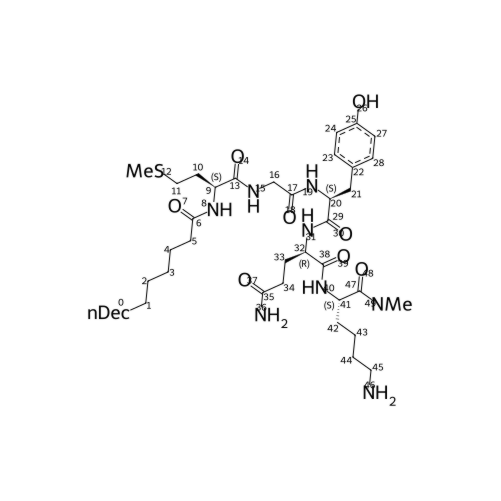 CCCCCCCCCCCCCCCC(=O)N[C@@H](CCSC)C(=O)NCC(=O)N[C@@H](Cc1ccc(O)cc1)C(=O)N[C@H](CCC(N)=O)C(=O)N[C@@H](CCCCN)C(=O)NC